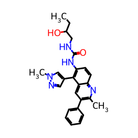 CCC(O)CNC(=O)Nc1ccc2nc(C)c(-c3ccccc3)cc2c1-c1cnn(C)c1